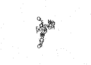 OC(Nc1cn(Cc2cn(C3CCN([C@@H]4CCOC4)CC3)nn2)nc1-c1cc(SC2COC2)ccc1OC(F)F)c1cnn2cccnc12